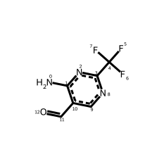 Nc1nc(C(F)(F)F)ncc1C=O